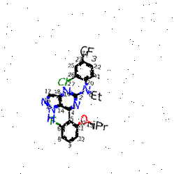 CCN(c1nc(-c2c(F)cccc2OC(C)C)c2[nH]ncc2n1)c1ccc(C(F)(F)F)cc1Cl